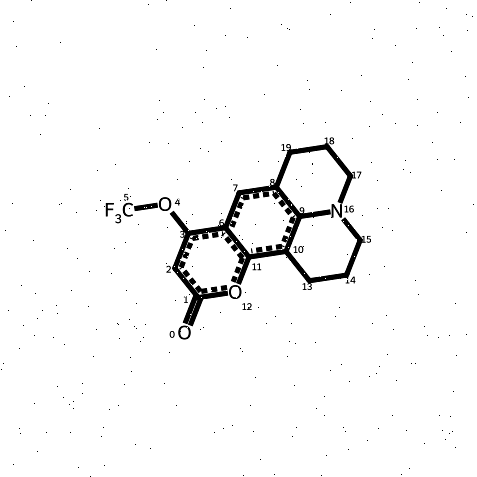 O=c1cc(OC(F)(F)F)c2cc3c4c(c2o1)CCCN4CCC3